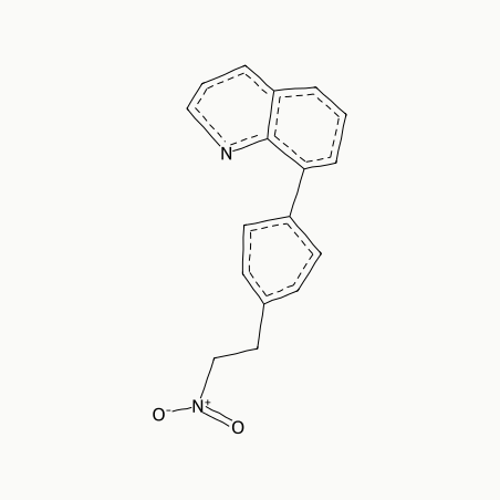 O=[N+]([O-])CCc1ccc(-c2cccc3cccnc23)cc1